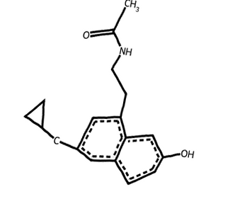 CC(=O)NCCc1cc(CC2CC2)cc2ccc(O)cc12